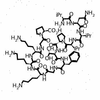 CC(C)[C@H](N)C(=O)N[C@@H](CC(N)=O)C(=O)N[C@H](C(=O)N[C@H](C(=O)N1CCC[C@H]1C(=O)N[C@H](C(=O)N[C@@H](Cc1ccccc1)C(=O)NCC(=O)N[C@@H](CCCCN)C(=O)N[C@@H](CCCCN)C(=O)N[C@@H](CCCCN)C(=O)NCC(=O)N1CCC[C@H]1C(=O)O)[C@@H](C)O)C(C)C)C(C)C